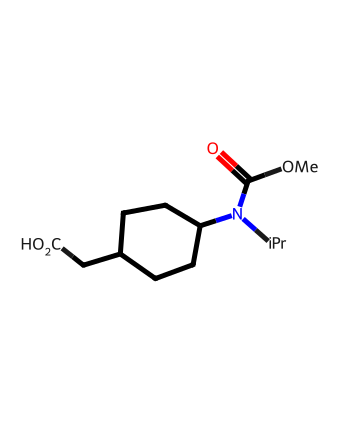 COC(=O)N(C(C)C)C1CCC(CC(=O)O)CC1